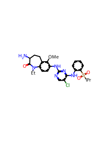 CCN1C(=O)C(N)CCc2c1ccc(Nc1ncc(Cl)c(Nc3ccccc3S(=O)(=O)C(C)C)n1)c2OC